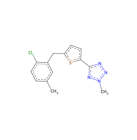 Cc1ccc(Cl)c(Cc2ccc(-c3nnn(C)n3)s2)c1